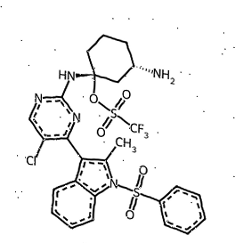 Cc1c(-c2nc(N[C@@]3(OS(=O)(=O)C(F)(F)F)CCC[C@H](N)C3)ncc2Cl)c2ccccc2n1S(=O)(=O)c1ccccc1